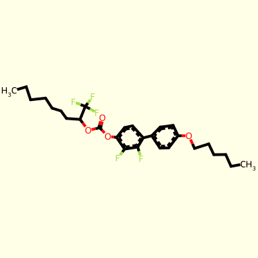 CCCCCCCC(OC(=O)Oc1ccc(-c2ccc(OCCCCCC)cc2)c(F)c1F)C(F)(F)F